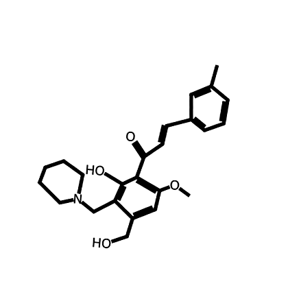 COc1cc(CO)c(CN2CCCCC2)c(O)c1C(=O)/C=C/c1cccc(C)c1